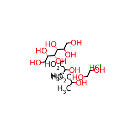 CC(O)C(=O)O.CC(O)C(=O)O.Cl.OCCO.OC[C@@H](O)[C@@H](O)[C@H](O)[C@@H](O)CO